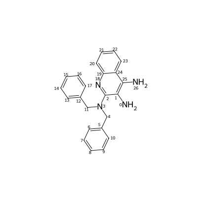 Nc1c(N(Cc2ccccc2)Cc2ccccc2)nc2ccccc2c1N